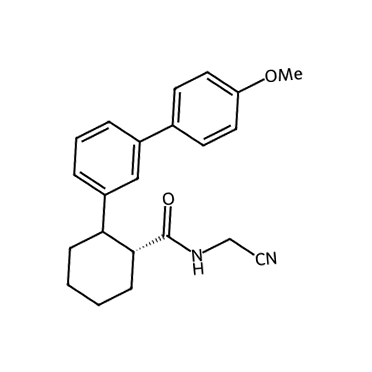 COc1ccc(-c2cccc(C3CCCC[C@H]3C(=O)NCC#N)c2)cc1